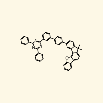 CC1(C)c2ccc(-c3ccc(-c4cccc(-c5nc(-c6ccccc6)nc(-c6ccccc6)n5)c4)cc3)cc2-c2c1ccc1c2oc2ccccc21